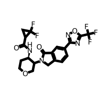 O=C(N[C@@H]1CCOCC1N1Cc2ccc(-c3noc(C(F)(F)F)n3)cc2C1=O)C1CC1(F)F